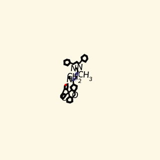 C=N/C(=C\C=C(/C)c1nc(-c2ccccc2)cc(-c2ccccc2)n1)c1ccc2c(c1)C1(c3ccccc3O2)c2ccccc2-c2ccccc21